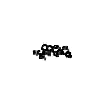 CC(C)NC1CCCC(CC(C)NC2COC2CC(C)NC2CCOC2)C1O